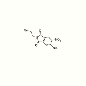 Nc1cc2c(cc1[N+](=O)[O-])C(=O)N(CCBr)C2=O